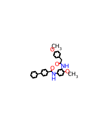 COc1ccc(CC(=O)Nc2cc(NC(=O)c3ccc(-c4ccccc4)cc3)ccc2OC)cc1